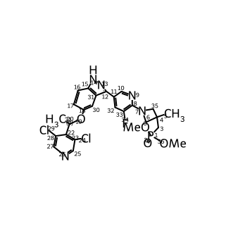 COP(=O)(CC1(C)CN(c2ncc(-c3n[nH]c4ccc(O[C@H](C)c5c(Cl)cncc5Cl)cc34)cc2F)C1)OC